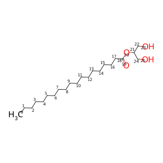 CCCCCCCCCCCCCCCCCCC(=O)OC(CO)CO